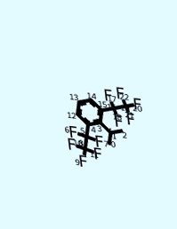 C[C](C)c1c(C(F)(F)C(F)(F)F)cccc1C(F)(F)C(F)(F)F